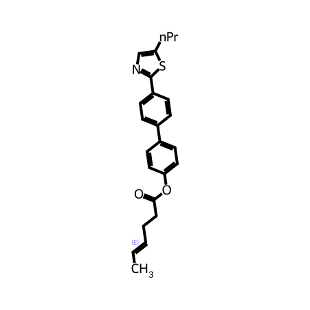 C/C=C/CCC(=O)Oc1ccc(-c2ccc(-c3ncc(CCC)s3)cc2)cc1